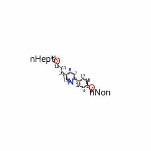 CCCCCCCCCOc1ccc(-c2ccc(CCCOCCCCCCC)cn2)cc1